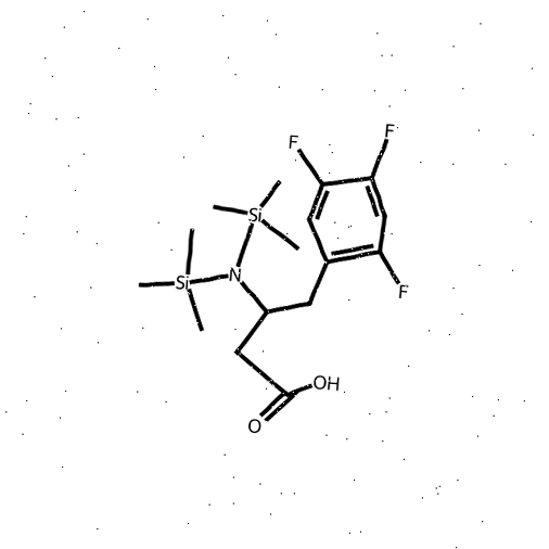 C[Si](C)(C)N(C(CC(=O)O)Cc1cc(F)c(F)cc1F)[Si](C)(C)C